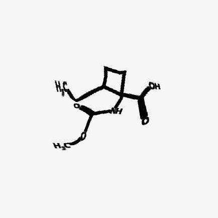 CCC1CCC1(NC(=O)OC)C(=O)O